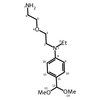 CCN(CCOCCN)c1ccc(C(OC)OC)cc1